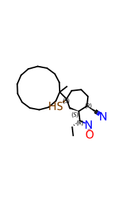 CC[C@@H](N=O)[C@H]1C[C@](S)(C2(C)CCCCCCCCCCCCC2)CCC[C@H]1C#N